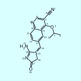 CC(C)Oc1c(C#N)cnc2ccc(/C=S3/CC(=O)N=C3N)cc12